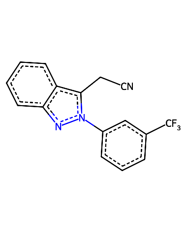 N#CCc1c2ccccc2nn1-c1cccc(C(F)(F)F)c1